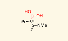 C=C(NC)[C@H](B(O)O)C(C)C